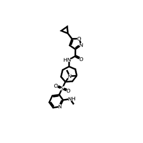 CNc1ncccc1S(=O)(=O)C12CCC(NC(=O)c3cc(C4CC4)on3)CC(C1)N2C